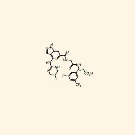 O=C(O)C[C@H](NC(=O)CNC(=O)c1cc(NC2=NCC(F)CN2)c2cn[nH]c2c1)c1cc(Cl)cc(C(F)(F)F)c1